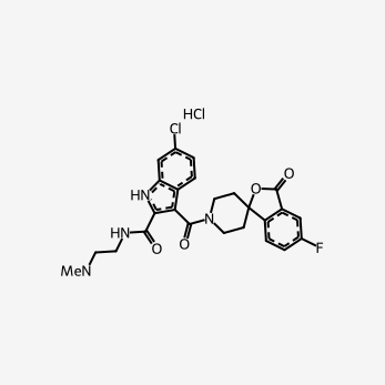 CNCCNC(=O)c1[nH]c2cc(Cl)ccc2c1C(=O)N1CCC2(CC1)OC(=O)c1cc(F)ccc12.Cl